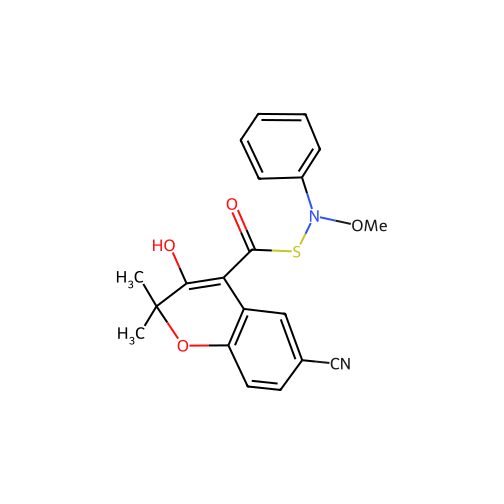 CON(SC(=O)C1=C(O)C(C)(C)Oc2ccc(C#N)cc21)c1ccccc1